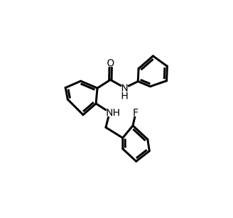 O=C(Nc1ccccc1)c1ccccc1NCc1ccccc1F